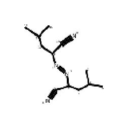 CC(C)CC(C#N)N=NC(C#N)CC(C)C